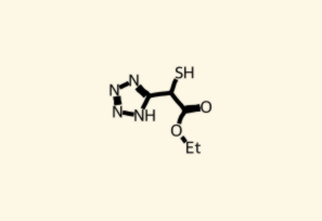 CCOC(=O)C(S)c1nnn[nH]1